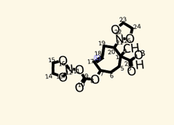 CC1(C(=O)O)CCC(OC(=O)ON2OCCO2)/C=C/CC1N1OCCO1